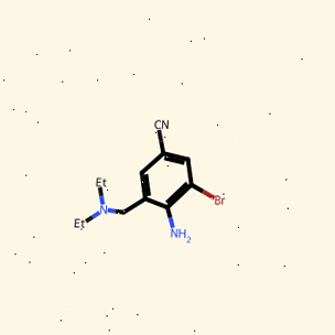 CCN(CC)Cc1cc(C#N)cc(Br)c1N